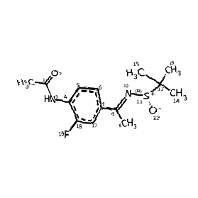 CC(=O)Nc1ccc(C(C)=N[S@@+]([O-])C(C)(C)C)cc1F